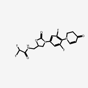 O=C1C=CN(c2c(F)cc(N3CC(CNC(=O)C(F)F)OC3=O)cc2F)CC1